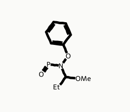 CCC(OC)N(Oc1ccccc1)P=O